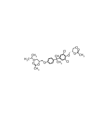 CC(=O)O[C@H](COc1ccc(C(C)(C)c2cc(Cl)c(OC[C@H](CCl)OC(C)=O)c(Cl)c2)cc1)COC(C)C